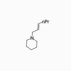 [CH2]CCC=CCN1CCCCC1